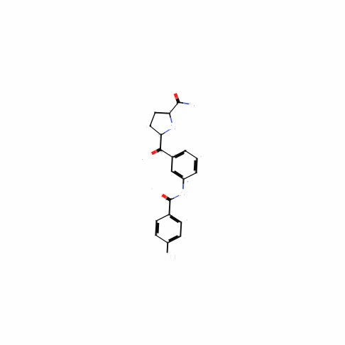 Cc1ccc(C(=O)Nc2c[c]cc(C(=O)C3CCC(C(N)=O)N3)c2)cc1